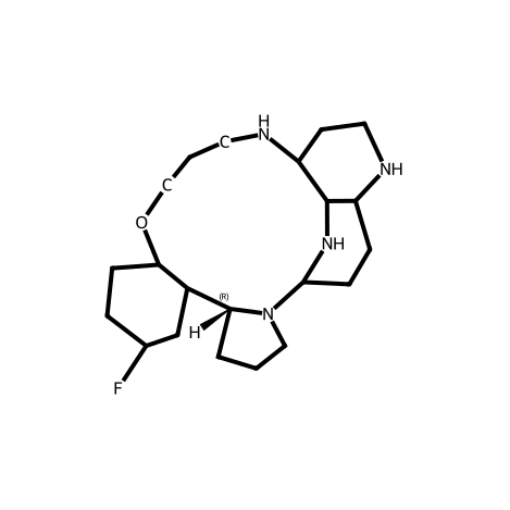 FC1CCC2OCCCNC3CCNC4CCC(NC34)N3CCC[C@@H]3C2C1